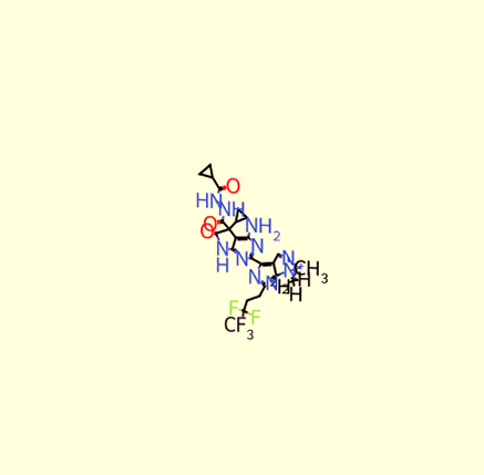 [2H]C([2H])([2H])[N+]1(C)N=Cc2c(-c3nc(N)c4c(n3)NC(=O)C4(C(=O)NNC(=O)C3CC3)C3CC3)nc(CCC(F)(F)C(F)(F)F)nc21